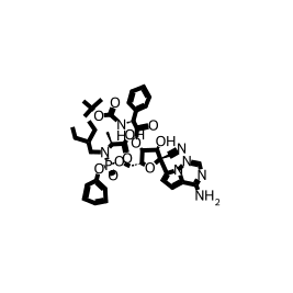 CCC(CC)CN([C@@H](C)C(=O)O)[P@](=O)(OC[C@H]1O[C@@](C#N)(c2ccc3c(N)ncnn23)[C@H](O)[C@@H]1OC(=O)[C@H](NC(=O)OC(C)(C)C)c1ccccc1)Oc1ccccc1